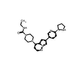 CCNC(=O)N1CCN(c2ccnn3cc(-c4ccc([C@H]5CCCN5)nc4)cc23)CC1